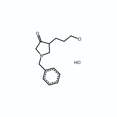 Cl.O=C1CN(Cc2ccccc2)CC1CCCCl